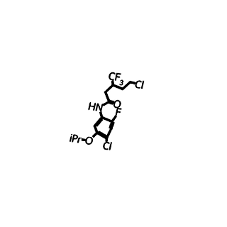 CC(C)Oc1cc(NC(=O)CC(CCCl)C(F)(F)F)c(F)cc1Cl